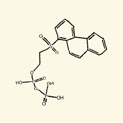 O=P(O)(O)OP(=O)(O)OCCS(=O)(=O)c1cccc2c1ccc1ccccc12